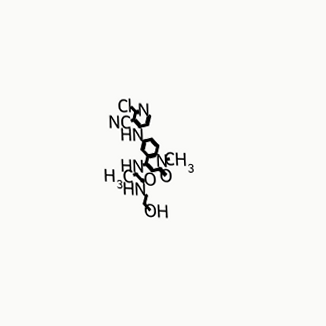 CC(Nc1cc(=O)n(C)c2ccc(Nc3ccnc(Cl)c3C#N)cc12)C(=O)NCCO